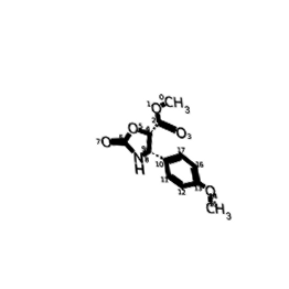 COC(=O)[C@H]1OC(=O)N[C@H]1c1ccc(OC)cc1